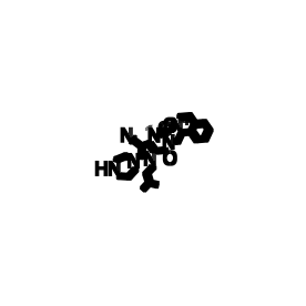 CC(C)=CCn1c(N2CCCNCC2)c(C#N)c2c1c(=O)n(Cc1c3ccccc3cc[n+]1[O-])c(=O)n2C